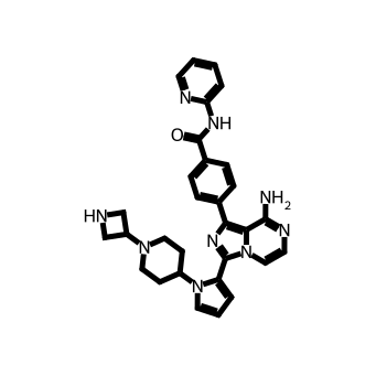 Nc1nccn2c(-c3cccn3C3CCN(C4CNC4)CC3)nc(-c3ccc(C(=O)Nc4ccccn4)cc3)c12